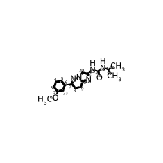 COc1cccc(-c2ccc3nc(NC(=O)NC(C)C)cn3n2)c1